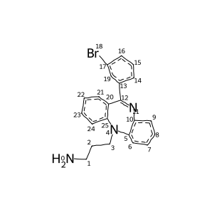 NCCCN1c2ccccc2N=C(c2cccc(Br)c2)c2ccccc21